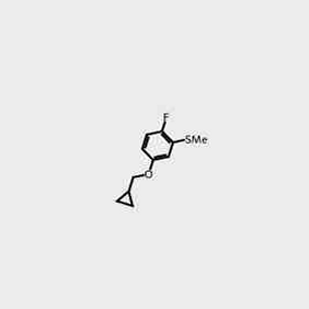 CSc1cc(OCC2CC2)ccc1F